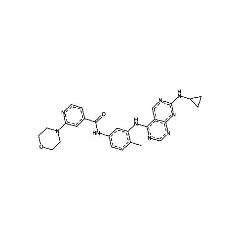 Cc1ccc(NC(=O)c2ccnc(N3CCOCC3)c2)cc1Nc1ncnc2nc(NC3CC3)ncc12